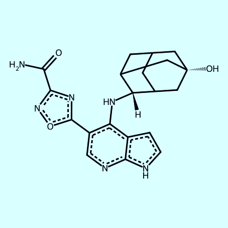 NC(=O)c1noc(-c2cnc3[nH]ccc3c2N[C@H]2C3CC4CC2C[C@@](O)(C4)C3)n1